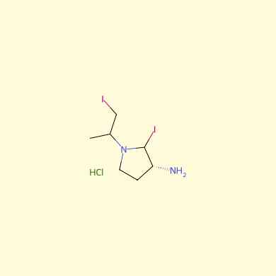 CC(CI)N1CC[C@@H](N)C1I.Cl